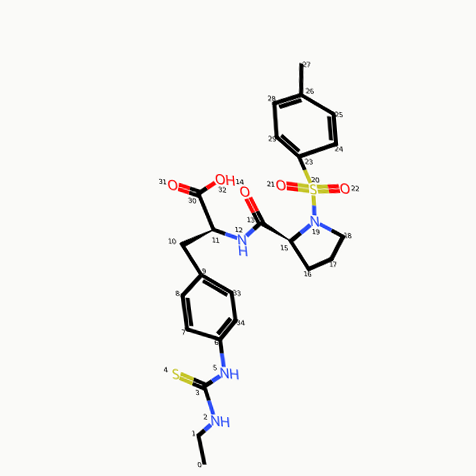 CCNC(=S)Nc1ccc(C[C@H](NC(=O)[C@@H]2CCCN2S(=O)(=O)c2ccc(C)cc2)C(=O)O)cc1